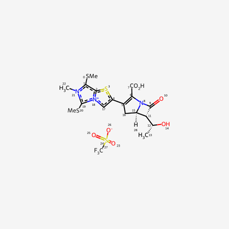 CSc1c2sc(C3=C(C(=O)O)N4C(=O)[C@H]([C@@H](C)O)[C@H]4C3)c[n+]2c(SC)n1C.O=S(=O)([O-])C(F)(F)F